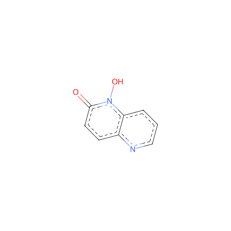 O=c1ccc2ncccc2n1O